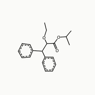 CCOC(C(=O)OC(C)C)C(c1ccccc1)c1ccccc1